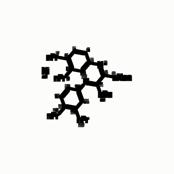 CCCCCCCCCC(=Nc1ccc(CCC)c(CCC)c1)C(CCCC)=Nc1ccc(CCC)c(CCC)c1.[Ni]